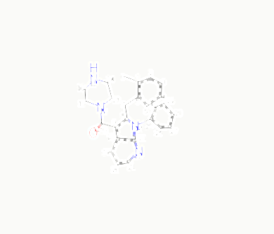 Cc1ccccc1Cc1c(C(=O)N2CCNCC2)c2cccnc2n1-c1ccccc1